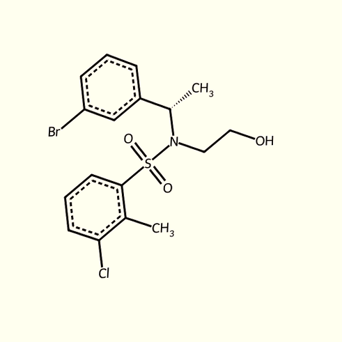 Cc1c(Cl)cccc1S(=O)(=O)N(CCO)[C@@H](C)c1cccc(Br)c1